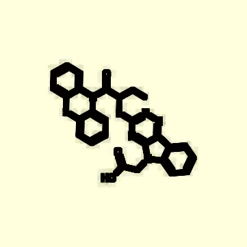 CCC(Sc1nnc2c3ccccc3n(CC(=O)O)c2n1)C(=O)N1c2ccccc2Sc2ccccc21